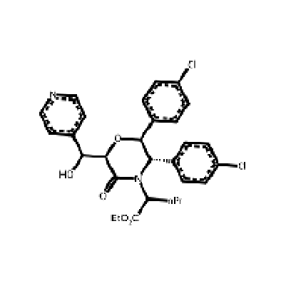 CCCC(C(=O)OCC)N1C(=O)C(C(O)c2ccncc2)OC(c2ccc(Cl)cc2)[C@@H]1c1ccc(Cl)cc1